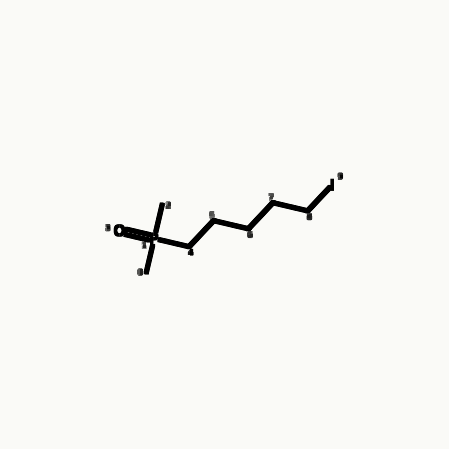 CP(C)(=O)CCCCCI